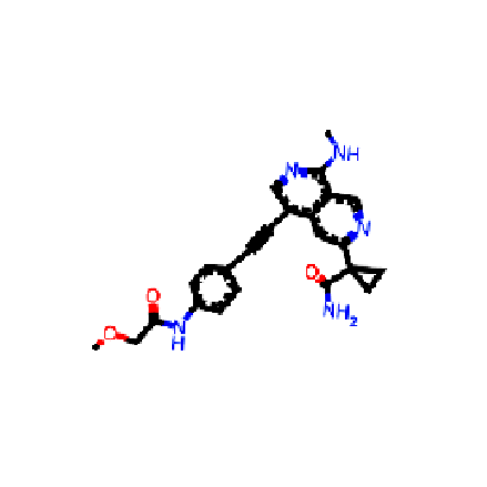 CNc1ncc(C#Cc2ccc(NC(=O)COC)cc2)c2cc(C3(C(N)=O)CC3)ncc12